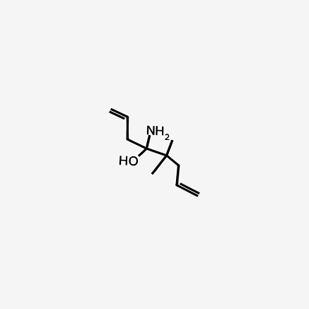 C=CCC(C)(C)C(N)(O)CC=C